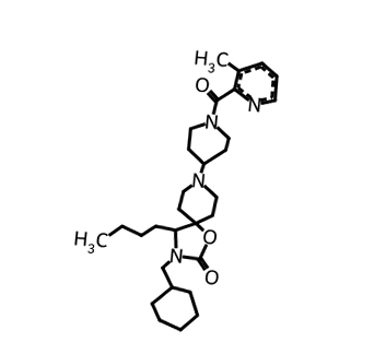 CCCCC1N(CC2CCCCC2)C(=O)OC12CCN(C1CCN(C(=O)c3ncccc3C)CC1)CC2